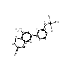 Cc1cc(-c2cccc(OC(F)(F)F)c2)cc2c1OCC(=O)N2